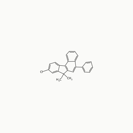 CC1(C)c2cc(Cl)ccc2-c2c1cc(-c1ccccc1)c1ccccc21